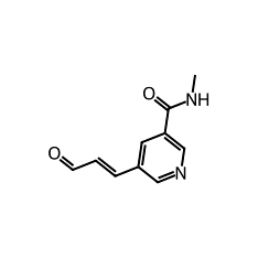 CNC(=O)c1cncc(/C=C/C=O)c1